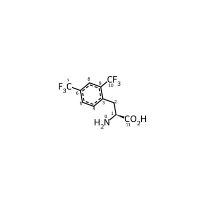 N[C@@H](Cc1ccc(C(F)(F)F)cc1C(F)(F)F)C(=O)O